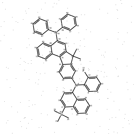 CC1(C)c2cc(N(c3ccccc3F)c3ccc([Si](C)(C)C)c4ccccc34)ccc2-c2c1cc(N(c1ccccc1)c1ccccc1)c1ccccc21